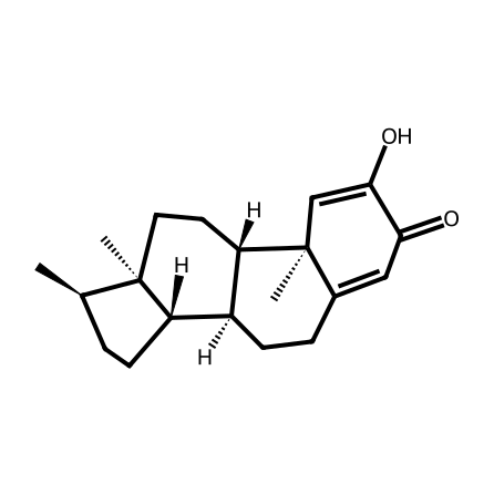 C[C@@H]1CC[C@H]2[C@@H]3CCC4=CC(=O)C(O)=C[C@]4(C)[C@H]3CC[C@]12C